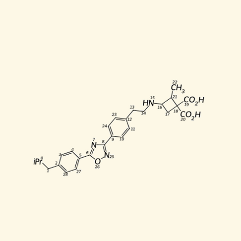 CC(C)Cc1ccc(-c2nc(-c3ccc(CCNC4CC(C(=O)O)(C(=O)O)C4C)cc3)no2)cc1